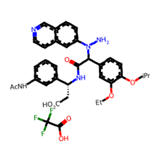 CCOc1cc(C(C(=O)N[C@H](CC(=O)O)c2cccc(NC(C)=O)c2)N(N)c2ccc3cnccc3c2)ccc1OC(C)C.O=C(O)C(F)(F)F